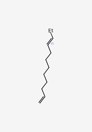 [CH2]C/C=C/CCCCCCC=C